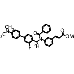 [2H]C(c1ccc(-c2ccc(N(C)C)cc2)cc1F)N(C(=O)c1ccccc1)c1cccc(/C=C/C(=O)OC)c1